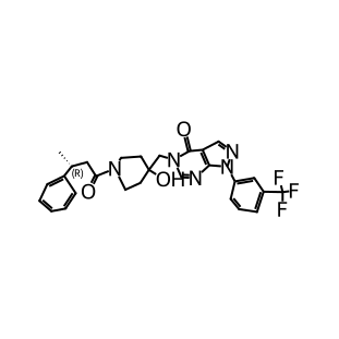 C[C@H](CC(=O)N1CCC(O)(Cn2cnc3c(cnn3-c3cccc(C(F)(F)F)c3)c2=O)CC1)c1ccccc1